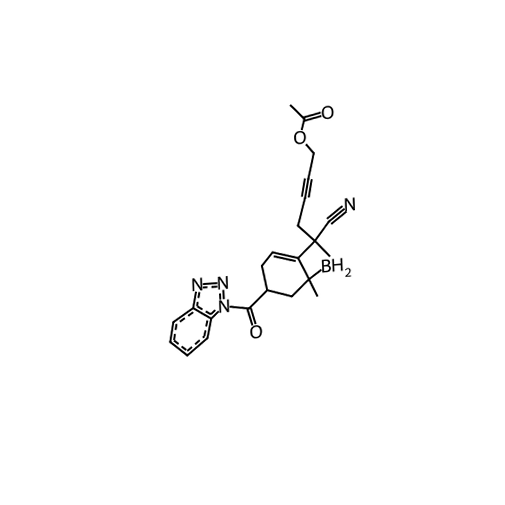 BC1(C)CC(C(=O)n2nnc3ccccc32)CC=C1C(C)(C#N)CC#CCOC(C)=O